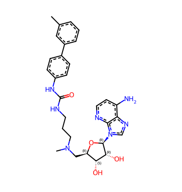 Cc1cccc(-c2ccc(NC(=O)NCCCN(C)C[C@H]3O[C@@H](n4cnc5c(N)ccnc54)[C@H](O)[C@@H]3O)cc2)c1